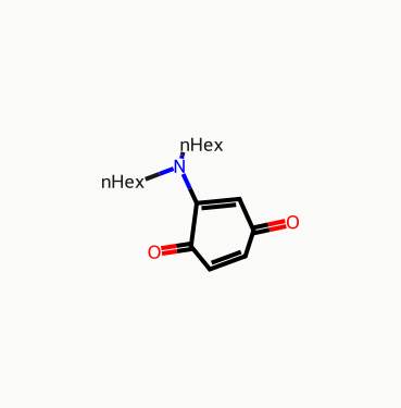 CCCCCCN(CCCCCC)C1=CC(=O)C=CC1=O